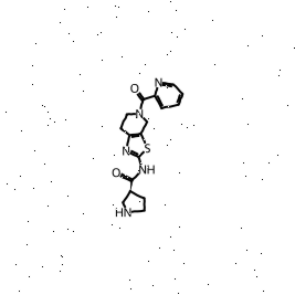 O=C(Nc1nc2c(s1)CN(C(=O)c1ccccn1)CC2)[C@H]1CCNC1